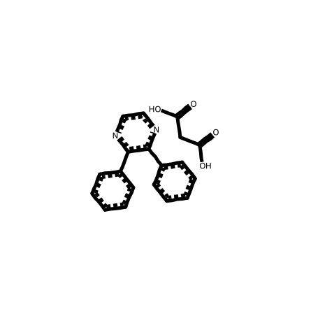 O=C(O)CC(=O)O.c1ccc(-c2nccnc2-c2ccccc2)cc1